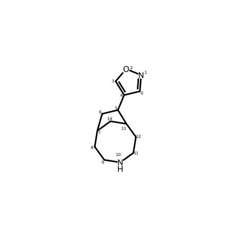 c1nocc1C1CC2CCNCCC1C2